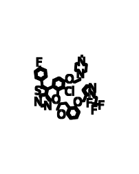 Cc1c(-c2c(-c3ccc(F)cc3)sc3ncnc(OC(C=O)Cc4ccccc4OCc4ccnn4CC(F)(F)F)c23)ccc(OCCN2CCN(C)CC2)c1Cl